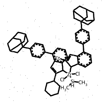 CCC1=Cc2c(-c3ccc(C45CC6CC(CC(C6)C4)C5)cc3)cccc2[CH]1[Zr]([Cl])([Cl])([CH]1C(C2CCCCC2)=Cc2c(-c3ccc(C45CC6CC(CC(C6)C4)C5)cc3)cccc21)[SiH](C)C